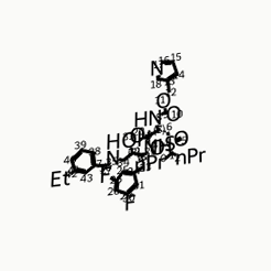 CCCC(CCC)S(=O)(=O)C[C@@H](NC(=O)OCc1cccnc1)C(=O)N[C@@H](Cc1cc(F)cc(F)c1)[C@H](O)CNCc1cccc(CC)c1